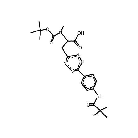 CN(C(=O)OC(C)(C)C)C(Cc1nnc(-c2ccc(NC(=O)C(C)(C)C)cc2)nn1)C(=O)O